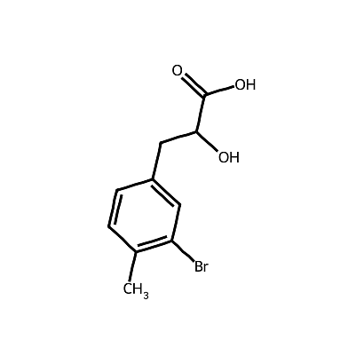 Cc1ccc(CC(O)C(=O)O)cc1Br